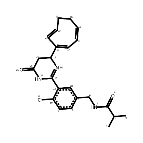 CC(C)C(=O)NCc1ccc(Cl)c(C2=NC(C3=C/C=C\CC\C=C\3)CC(=O)N2)c1